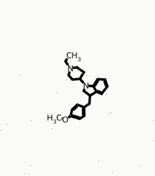 CCN1CCC(N2CC(Cc3ccc(OC)cc3)c3ccccc32)CC1